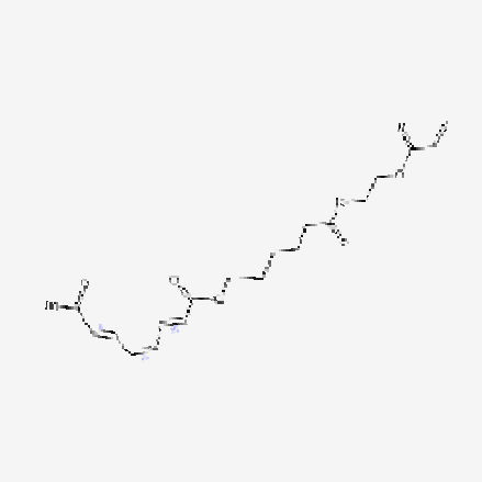 C=CC(=O)OCCOC(=O)CCCCCOC(=O)/C=C/C=C\C=C\C(=O)O